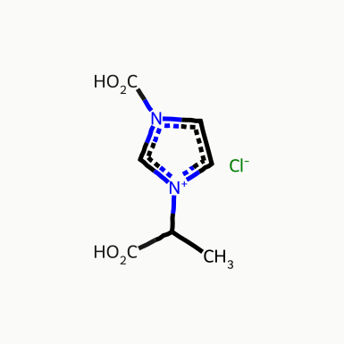 CC(C(=O)O)[n+]1ccn(C(=O)O)c1.[Cl-]